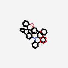 C1=C(c2ccc3c(c2)Oc2ccccc2C32c3ccccc3-c3ccc(N(c4ccccc4-c4ccccc4)c4cccc5ccccc45)cc32)CCCC1